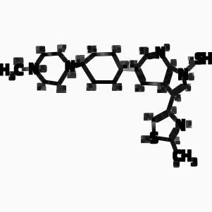 Cc1nc(-c2cn(S)c3ncc([C@H]4CC[C@H](N5CCN(C)CC5)CC4)cc23)cs1